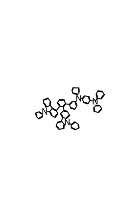 c1ccc(N(c2ccccc2)c2ccc(N(c3ccccc3)c3cccc(-c4cccc(-c5cccc6c5c5ccccc5n6-c5ccccc5)c4-c4ccc5c(c4)c4ccccc4n5-c4ccccc4)c3)cc2)cc1